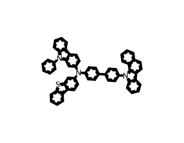 c1ccc(-n2c3ccccc3c3ccc(N(c4ccc(-c5ccc(-n6c7ccccc7c7ccc8ccccc8c76)cc5)cc4)c4ccc5c(c4)sc4ccccc45)cc32)cc1